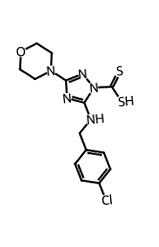 S=C(S)n1nc(N2CCOCC2)nc1NCc1ccc(Cl)cc1